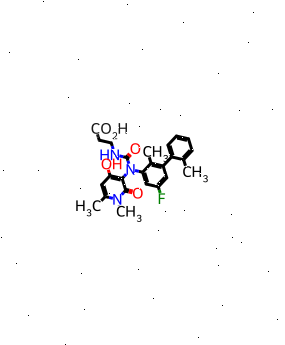 Cc1ccccc1-c1cc(F)cc(N(C(=O)NCCC(=O)O)c2c(O)cc(C)n(C)c2=O)c1C